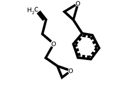 C=CCOCC1CO1.c1ccc(C2CO2)cc1